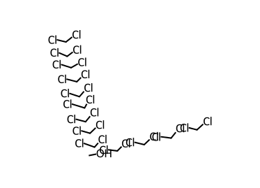 CO.ClCCl.ClCCl.ClCCl.ClCCl.ClCCl.ClCCl.ClCCl.ClCCl.ClCCl.ClCCl.ClCCl.ClCCl.ClCCl